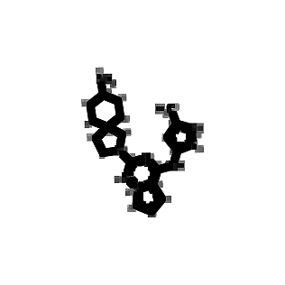 Cc1cc(Nc2nc(N3CCC4(CCC(N)CC4)C3)nn3cccc23)n[nH]1